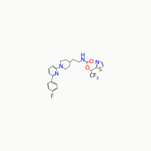 O=C(NCCC1CCN(c2cccc(-c3ccc(F)cc3)n2)CC1)OC(c1nccs1)C(F)(F)F